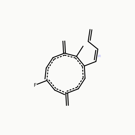 C=C/C=C\c1ccc(=C)cc(F)ccc(=C)c1C